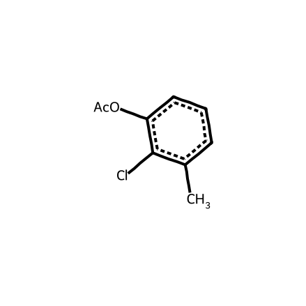 CC(=O)Oc1cccc(C)c1Cl